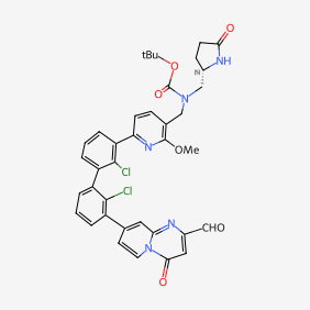 COc1nc(-c2cccc(-c3cccc(-c4ccn5c(=O)cc(C=O)nc5c4)c3Cl)c2Cl)ccc1CN(C[C@@H]1CCC(=O)N1)C(=O)OC(C)(C)C